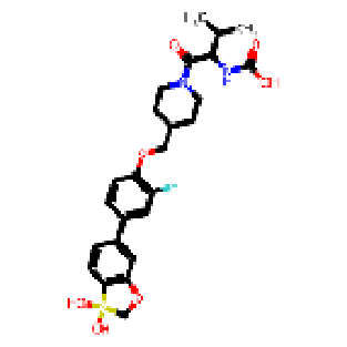 CC(C)C(NC(=O)O)C(=O)N1CCC(COc2ccc(-c3ccc4c(c3)OCS4(O)O)cc2F)CC1